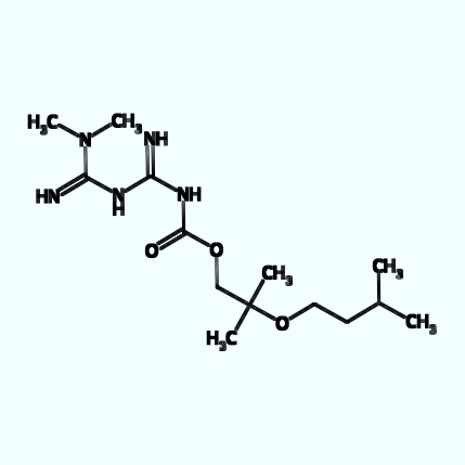 CC(C)CCOC(C)(C)COC(=O)NC(=N)NC(=N)N(C)C